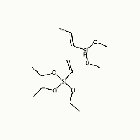 C=C[Si](OCC)(OCC)OCC.CC=C[SiH](OC)OC